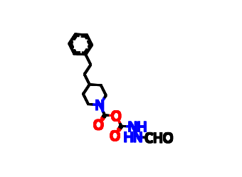 O=CNNC(=O)OC(=O)N1CCC(CCc2ccccc2)CC1